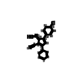 N#CC1=C(c2ccccc2)C=C(c2ccc(Cl)cc2)C1=NO